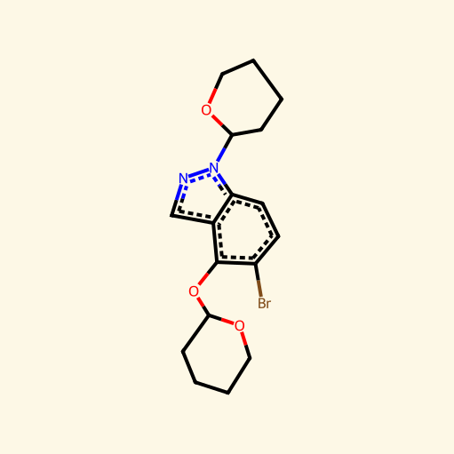 Brc1ccc2c(cnn2C2CCCCO2)c1OC1CCCCO1